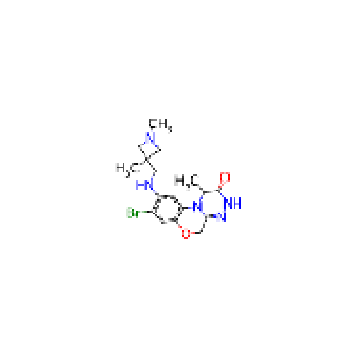 CC1C(=O)NN=C2COc3cc(Br)c(NCC4(C)CN(C)C4)cc3N21